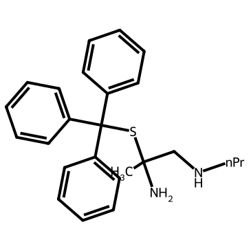 CCCNCC(C)(N)SC(c1ccccc1)(c1ccccc1)c1ccccc1